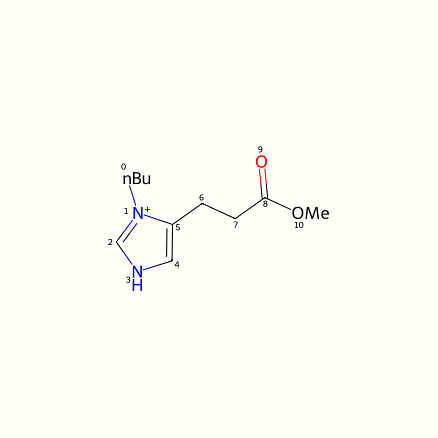 CCCC[n+]1c[nH]cc1CCC(=O)OC